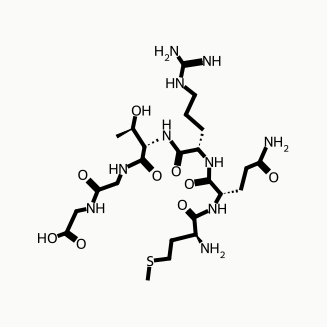 CSCC[C@H](N)C(=O)N[C@@H](CCC(N)=O)C(=O)N[C@@H](CCCNC(=N)N)C(=O)N[C@H](C(=O)NCC(=O)NCC(=O)O)[C@@H](C)O